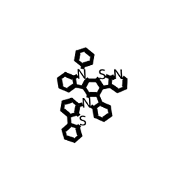 c1ccc(-n2c3ccccc3c3c2c2sc4ncccc4c2c2c4ccccc4n(-c4cccc5c4sc4ccccc45)c23)cc1